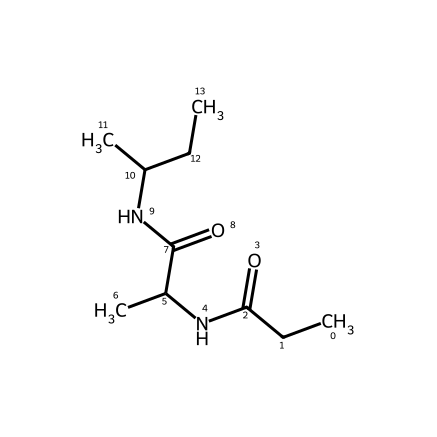 CCC(=O)NC(C)C(=O)NC(C)CC